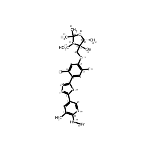 Cc1cc(-c2nnc(-c3cc(F)c(OC[C@@]4(C(C)(C)C)[C@@H](C)OC(C)(C)N4C(=O)O)cc3Cl)s2)cnc1NC(C)C